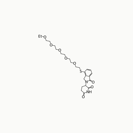 CCOCCOCCOCCOCCOCCSc1cccc2c1CN(C1CCC(=O)NC1=O)C2=O